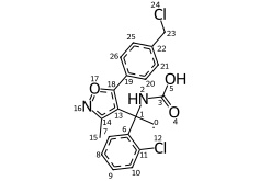 [CH2]C(NC(=O)O)(c1ccccc1Cl)c1c(C)noc1-c1ccc(CCl)cc1